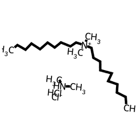 CCCCCCCCCC[N+](C)(C)CCCCCCCCCC.CNC.Cl.[Cl-]